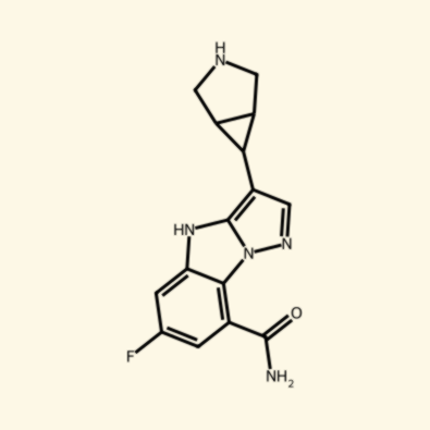 NC(=O)c1cc(F)cc2[nH]c3c(C4C5CNCC54)cnn3c12